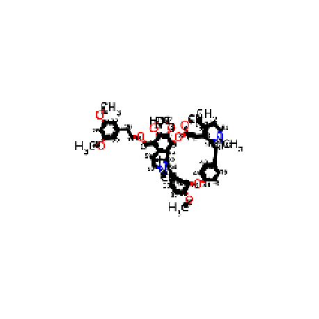 C=CC1=C2/C=C(\OC)Oc3c(OC)c(OC)c(COCCc4cc(OC)cc(OC)c4)c4c3[C@H](Cc3ccc(OC)c(c3)Oc3ccc(cc3)C[C@@H]2N(C)CC1)N(C)CC4